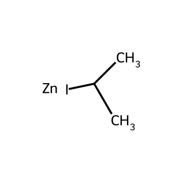 CC(C)I.[Zn]